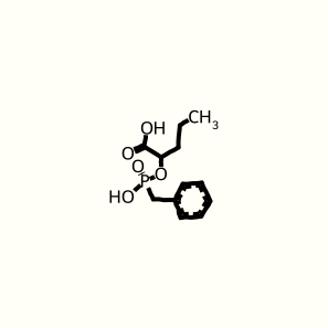 CCCC(OP(=O)(O)Cc1ccccc1)C(=O)O